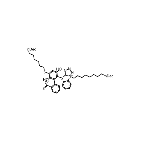 CCCCCCCCCCCCCCCCCC[N+]1(c2ccccc2)N=NN=C1Sc1c(O)cc(SCCCCCCCCCCCCCCCC)c(O)c1-c1ccccc1C([O-])=S